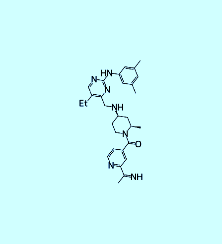 CCc1cnc(Nc2cc(C)cc(C)c2)nc1CN[C@@H]1CCN(C(=O)c2ccnc(C(C)=N)c2)[C@H](C)C1